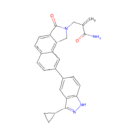 C=C(CN1Cc2c(ccc3ccc(-c4ccc5[nH]nc(C6CC6)c5c4)cc23)C1=O)C(N)=O